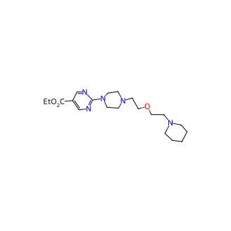 CCOC(=O)c1cnc(N2CCN(CCOCCN3CCCCC3)CC2)nc1